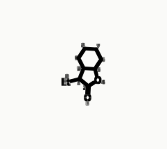 CCC1C(=O)OC2CCCCC21